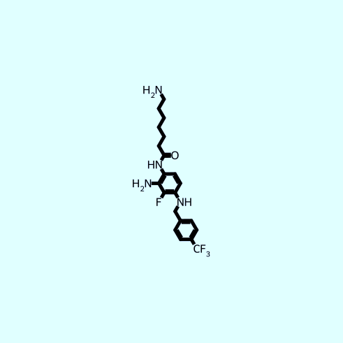 NCCCCCCC(=O)Nc1ccc(NCc2ccc(C(F)(F)F)cc2)c(F)c1N